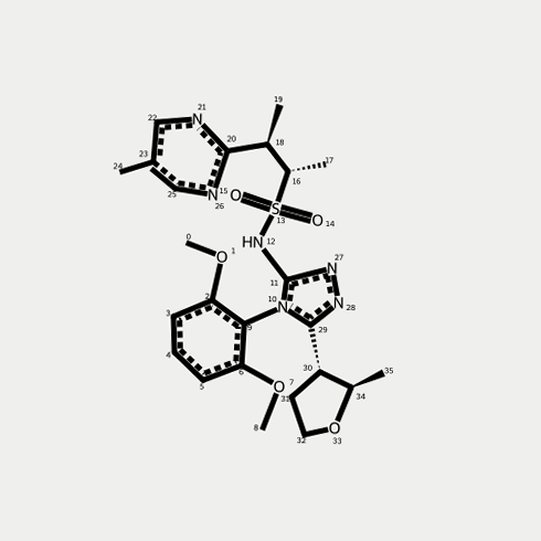 COc1cccc(OC)c1-n1c(NS(=O)(=O)[C@@H](C)[C@H](C)c2ncc(C)cn2)nnc1[C@H]1CCO[C@@H]1C